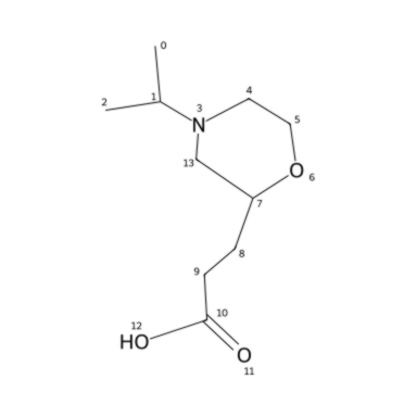 CC(C)N1CCOC(CCC(=O)O)C1